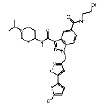 CC(C)N1CCC(NC(=O)c2nn(Cc3cc(-c4ccc(Cl)s4)on3)c3ccc(C(=O)NCCO)cc23)CC1